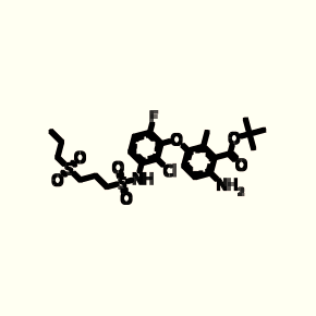 CCCS(=O)(=O)CCCS(=O)(=O)Nc1ccc(F)c(Oc2ccc(N)c(C(=O)OC(C)(C)C)c2C)c1Cl